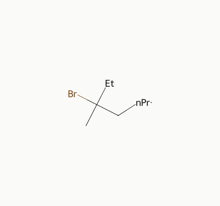 CC[CH]CC(C)(Br)CC